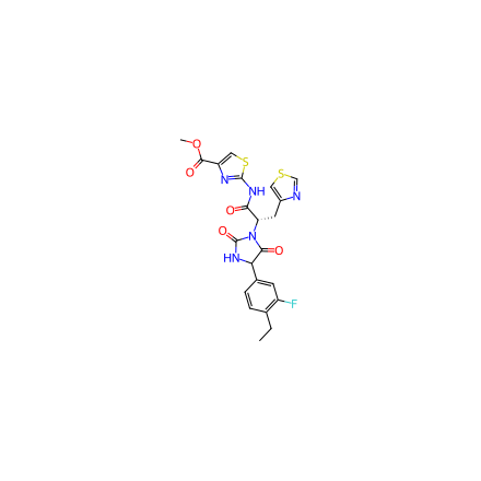 CCc1ccc(C2NC(=O)N([C@@H](Cc3cscn3)C(=O)Nc3nc(C(=O)OC)cs3)C2=O)cc1F